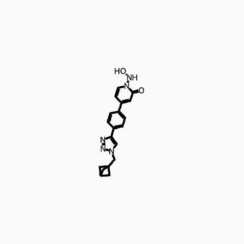 O=c1cc(-c2ccc(-c3cn(CC45CC(C4)C5)nn3)cc2)ccn1NO